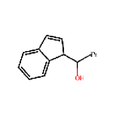 CC(C)C(O)C1C=Cc2ccccc21